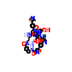 Cc1ncsc1-c1ccc([C@H](CC(=O)NCCCCNC(=O)c2ccc3c(c2)[C@H](NC(=O)c2cc(-c4ccc(C(=O)N(C)C)c(O)c4)on2)CC3)NC(=O)[C@@H]2C[C@@H](O)CN2C(=O)[C@@H](NC(=O)C2(F)CC2)C(C)(C)C)cc1